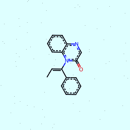 CC=C(c1ccccc1)n1c(=O)cnc2ccccc21